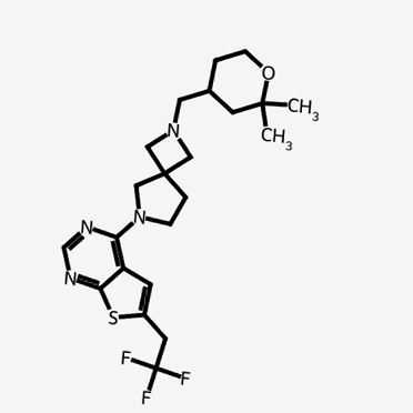 CC1(C)CC(CN2CC3(CCN(c4ncnc5sc(CC(F)(F)F)cc45)C3)C2)CCO1